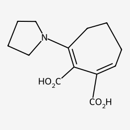 O=C(O)C1=CCCCC(N2CCCC2)=C1C(=O)O